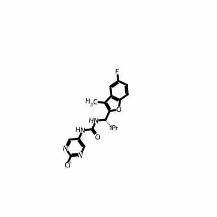 Cc1c([C@@H](NC(=O)Nc2cnc(Cl)nc2)C(C)C)oc2ccc(F)cc12